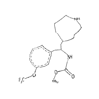 CC(C)(C)OC(=O)NC(c1cccc(OC(F)(F)F)c1)C1CCCNCC1